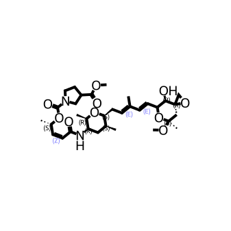 COC(=O)C1CCN(C(=O)O[C@@H](C)/C=C\C(=O)N[C@@H]2C[C@H](C)[C@H](C/C=C(C)/C=C/C3O[C@](C)(OC)C[C@@]4(CO4)[C@@H]3O)O[C@@H]2C)C1